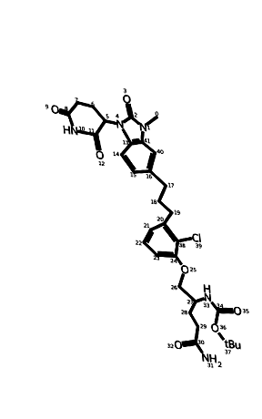 Cn1c(=O)n(C2CCC(=O)NC2=O)c2ccc(CCCc3cccc(OCC(CCC(N)=O)NC(=O)OC(C)(C)C)c3Cl)cc21